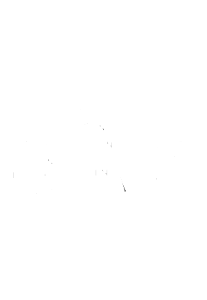 C[C@@H](Nc1nn(C)c(=O)c2cc(=O)n(C3(CF)CC3)cc12)c1cccc2c1OCC2(F)F